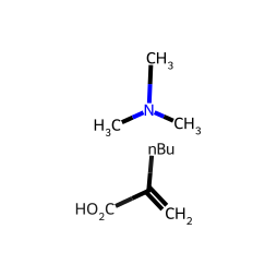 C=C(CCCC)C(=O)O.CN(C)C